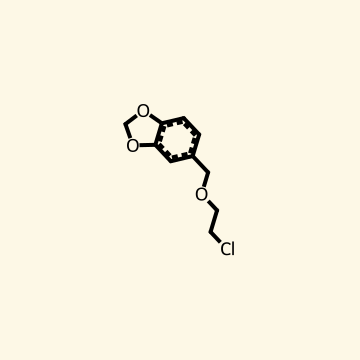 ClCCOCc1ccc2c(c1)OCO2